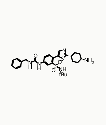 CC(C)(C)NS(=O)(=O)c1cc(NC(=O)NCc2ccccc2)ccc1-c1cnc([C@H]2CC[C@H](N)CC2)s1